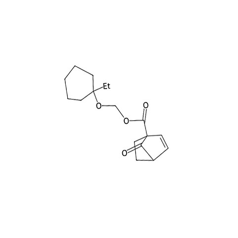 CCC1(OCOC(=O)C23C=CC(CC2)C3=O)CCCCC1